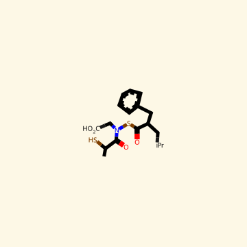 CC(C)CC(Cc1ccccc1)C(=O)SN(CC(=O)O)C(=O)C(C)S